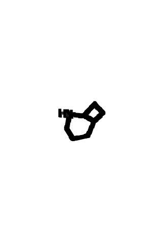 C1CNC2CCC2C1